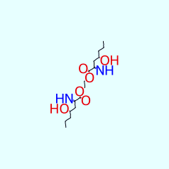 CCCC(O)CC(=N)C(=O)OCCOC(=O)C(=N)CC(O)CCC